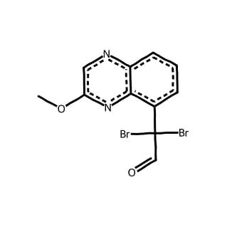 COc1cnc2cccc(C(Br)(Br)C=O)c2n1